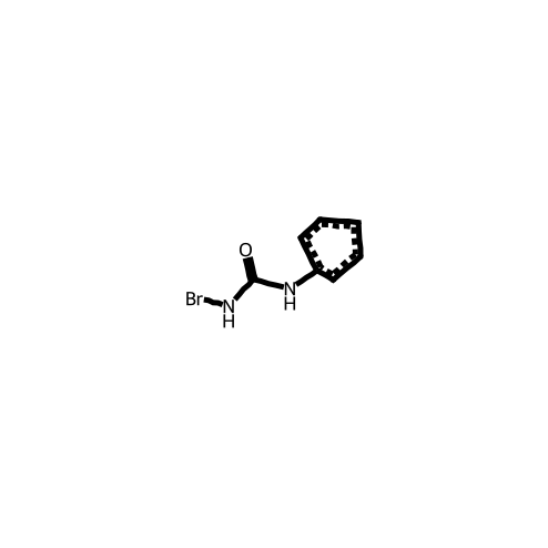 O=C(NBr)Nc1ccccc1